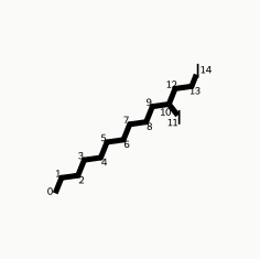 CCCCCCCCCCC(I)CCI